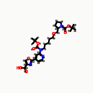 CC(C)(C)OC(=O)N(CCCCCOCC1CCCN1C(=O)OC(C)(C)C)c1cc(-c2nc(C(=O)O)co2)ccn1